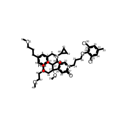 COCCCc1cc(CN(C(=O)C2CNCC[C@]2(OC)c2ccn(CCCOc3c(Cl)cc(C)cc3Cl)c(=O)c2)C2CC2)cc(OCCOC)c1